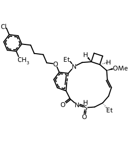 CC[C@H]1C/C=C/[C@H](OC)[C@@H]2CC[C@H]2CN(CC)c2cc(ccc2OCCCCc2cc(Cl)ccc2C)C(=O)/N=[SH](=O)\C1